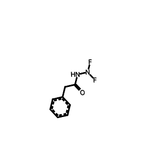 O=C(Cc1ccccc1)NN(F)F